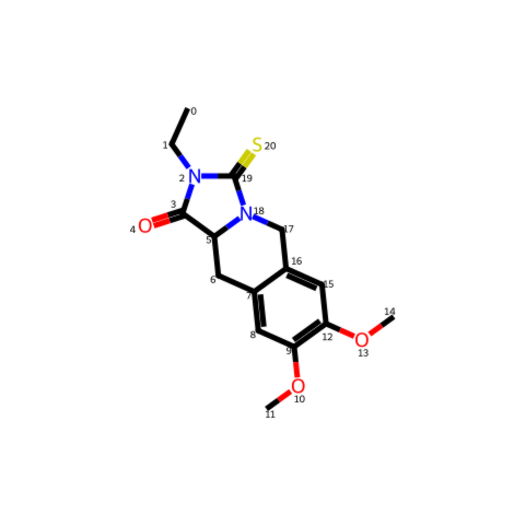 CCN1C(=O)C2Cc3cc(OC)c(OC)cc3CN2C1=S